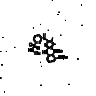 COc1cccc(Nc2ncc(C)c(Nc3cccc(S(=O)(=O)NC(C)(C)C)c3)n2)c1OC